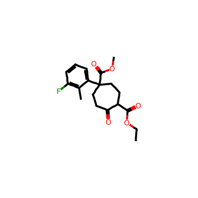 CCOC(=O)C1CCC(C(=O)OC)(c2cccc(F)c2C)CCC1=O